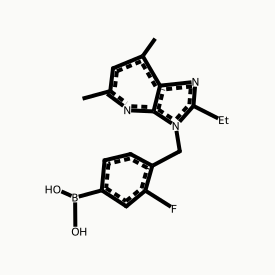 CCc1nc2c(C)cc(C)nc2n1Cc1ccc(B(O)O)cc1F